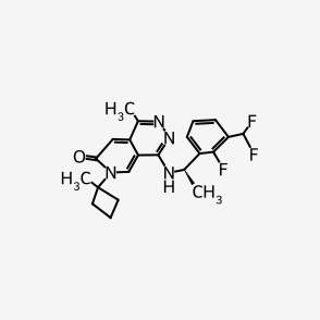 Cc1nnc(N[C@H](C)c2cccc(C(F)F)c2F)c2cn(C3(C)CCC3)c(=O)cc12